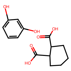 O=C(O)C1CCCCC1C(=O)O.Oc1cccc(O)c1